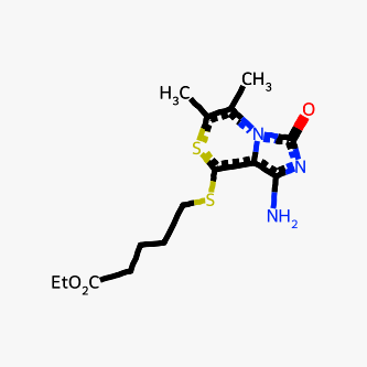 CCOC(=O)CCCCSc1sc(C)c(C)n2c(=O)nc(N)c1-2